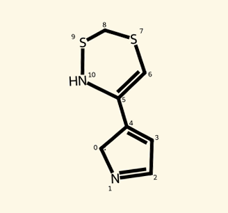 [C]1N=CC=C1C1=CSCSN1